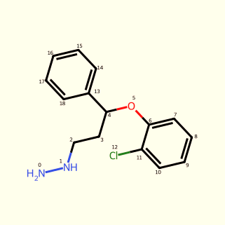 NNCCC(Oc1ccccc1Cl)c1ccccc1